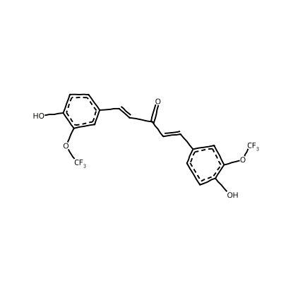 O=C(C=Cc1ccc(O)c(OC(F)(F)F)c1)C=Cc1ccc(O)c(OC(F)(F)F)c1